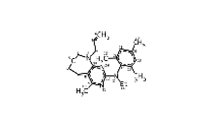 C=CCN1CCCCc2c(C)nc(N(CC)c3c(C)cc(C)cc3C)nc21